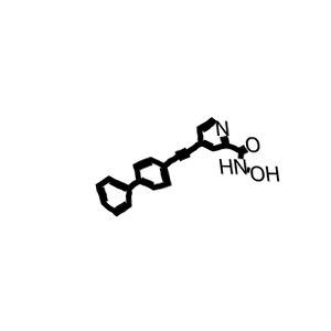 O=C(NO)c1cc(C#Cc2ccc(-c3ccccc3)cc2)ccn1